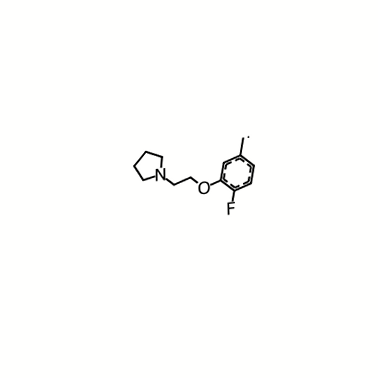 [CH2]c1ccc(F)c(OCCN2CCCC2)c1